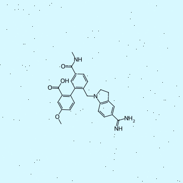 CNC(=O)c1ccc(CN2CCc3cc(C(=N)N)ccc32)c(-c2ccc(OC)cc2C(=O)O)c1